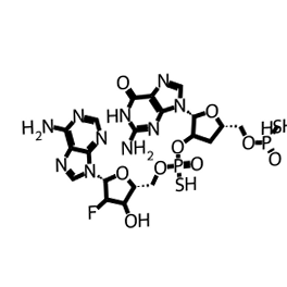 Nc1nc2c(ncn2[C@@H]2O[C@H](CO[PH](=O)S)CC2OP(=O)(S)OC[C@H]2O[C@@H](n3cnc4c(N)ncnc43)C(F)C2O)c(=O)[nH]1